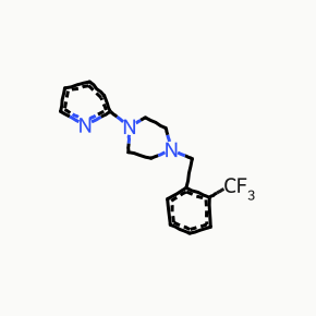 FC(F)(F)c1ccccc1CN1CCN(c2ccccn2)CC1